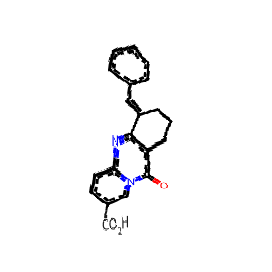 O=C(O)c1ccc2nc3c(c(=O)n2c1)CCCC3=Cc1ccccc1